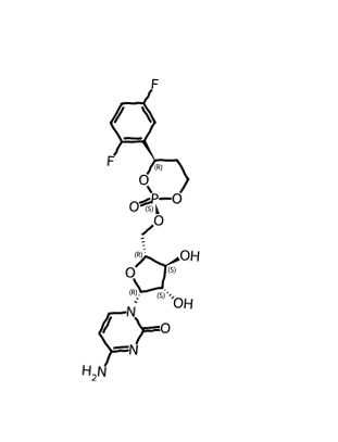 Nc1ccn([C@@H]2O[C@H](CO[P@]3(=O)OCC[C@H](c4cc(F)ccc4F)O3)[C@@H](O)[C@@H]2O)c(=O)n1